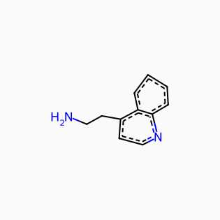 NCCc1ccnc2ccccc12